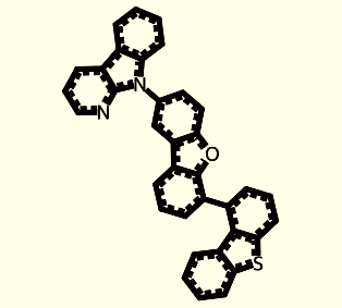 c1ccc2c(c1)sc1cccc(-c3cccc4c3oc3ccc(-n5c6ccccc6c6cccnc65)cc34)c12